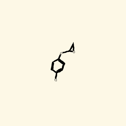 Clc1ccc(OC2CO2)cc1